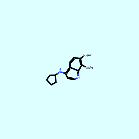 COc1c(NC(C)=O)ccc2c(NC3CCCC3)ccnc12